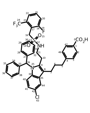 O=C(O)c1ccc(CCCc2c(CCNS(=O)(=O)Cc3c(F)cccc3C(F)(F)F)n(C(c3ccccc3)c3ccccc3)c3ccc(Cl)cc23)cc1